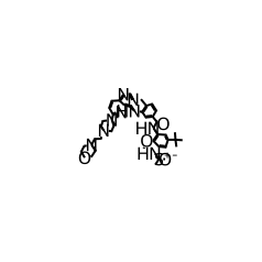 COc1c(NC(=O)c2ccc(C)c(Nc3ncnc4ccc(N5CCN(CCN6CCOCC6)CC5)nc34)c2)cc(C(C)(C)C)cc1N[S+](C)[O-]